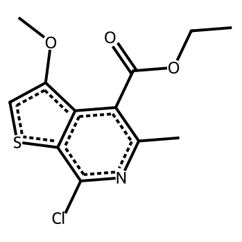 CCOC(=O)c1c(C)nc(Cl)c2scc(OC)c12